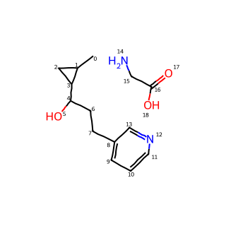 CC1CC1C(O)CCc1cccnc1.NCC(=O)O